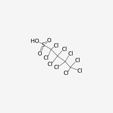 O=S(=O)(O)C(Cl)(Cl)C(Cl)(Cl)C(Cl)(Cl)C(Cl)(Cl)Cl